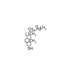 COC(=O)CCC[C@@H](C)[C@H]1CCC2C3CC=C4C[C@@H](O)CC[C@]4(C)C3CC[C@@]21C